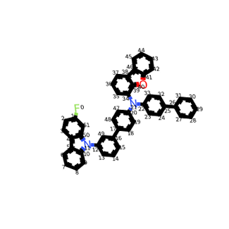 Fc1ccc2c3ccccc3n(-c3cccc(-c4ccc(N(c5ccc(-c6ccccc6)cc5)c5cccc6c5oc5ccccc56)cc4)c3)c2c1